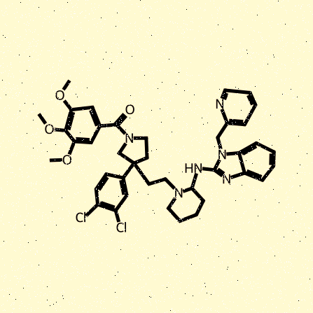 COc1cc(C(=O)N2CCC(CCN3CCCCC3Nc3nc4ccccc4n3Cc3ccccn3)(c3ccc(Cl)c(Cl)c3)C2)cc(OC)c1OC